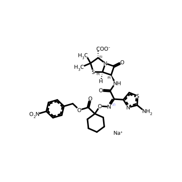 CC1(C)S[C@@H]2[C@H](NC(=O)/C(=N\OC3(C(=O)OCc4ccc([N+](=O)[O-])cc4)CCCCC3)c3csc(N)n3)C(=O)N2[C@H]1C(=O)[O-].[Na+]